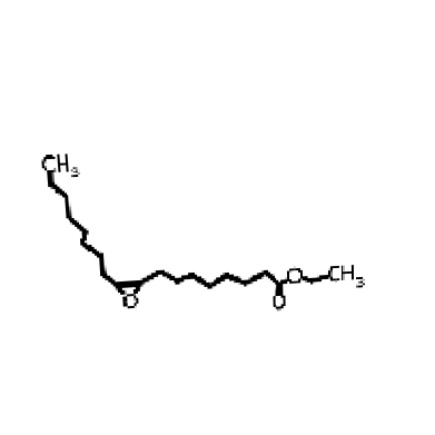 CCCCCCCCC1OC1CCCCCCCC(=O)OCC